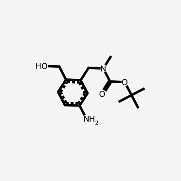 CN(Cc1cc(N)ccc1CO)C(=O)OC(C)(C)C